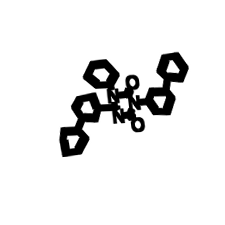 O=c1nc(-c2cccc(-c3ccccc3)c2)n(-c2ccccc2)c(=O)n1-c1cccc(-c2ccccc2)c1